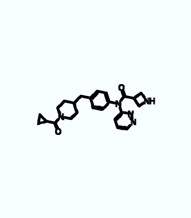 O=C(C1CC1)N1CCC(Cc2ccc(N(C(=O)C3CNC3)c3cccnn3)cc2)CC1